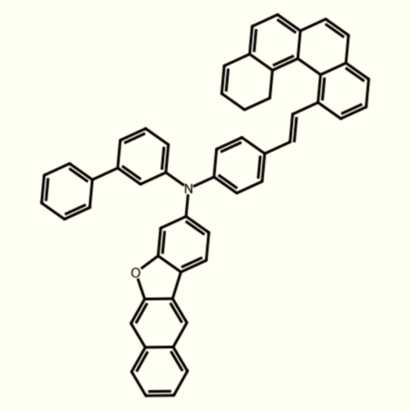 C1=Cc2ccc3ccc4cccc(C=Cc5ccc(N(c6cccc(-c7ccccc7)c6)c6ccc7c(c6)oc6cc8ccccc8cc67)cc5)c4c3c2CC1